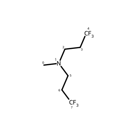 CN(CCC(F)(F)F)CCC(F)(F)F